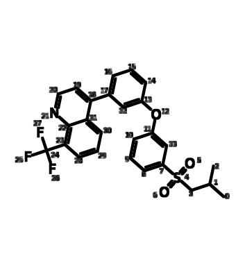 CC(C)CS(=O)(=O)c1cccc(Oc2cccc(-c3ccnc4c(C(F)(F)F)cccc34)c2)c1